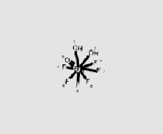 [O]=[Zr]([OH])([OH])([F])([F])([F])([F])([F])[F]